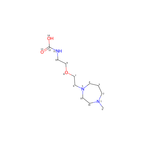 CN1CCCN(CCOCCNC(=O)O)CC1